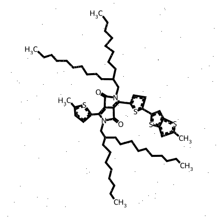 CCCCCCCCCCC(CCCCCCCC)CN1C(=O)C2=C(c3ccc(-c4cc5sc(C)cc5s4)s3)N(CC(CCCCCCCC)CCCCCCCCCC)C(=O)C2=C1c1ccc(C)s1